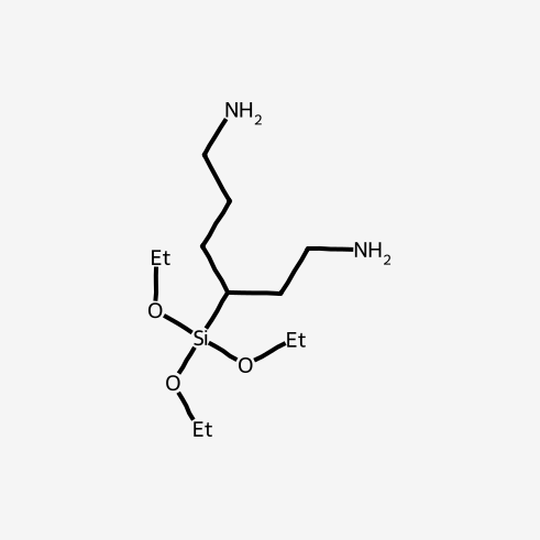 CCO[Si](OCC)(OCC)C(CCN)CCCN